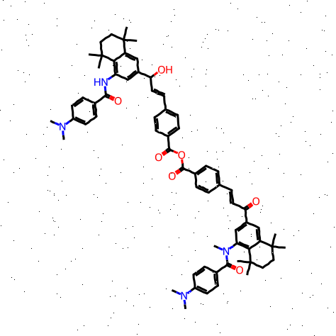 CN(C)c1ccc(C(=O)Nc2cc(C(O)C=Cc3ccc(C(=O)OC(=O)c4ccc(C=CC(=O)c5cc(N(C)C(=O)c6ccc(N(C)C)cc6)c6c(c5)C(C)(C)CCC6(C)C)cc4)cc3)cc3c2C(C)(C)CCC3(C)C)cc1